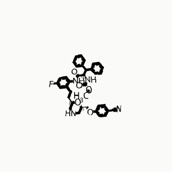 COC(=O)N[C@H](C(=O)Nc1ccc(F)cc1CC[C@@H]1CNC[C@@H](COc2ccc(C#N)cc2)O1)C(c1ccccc1)c1ccccc1